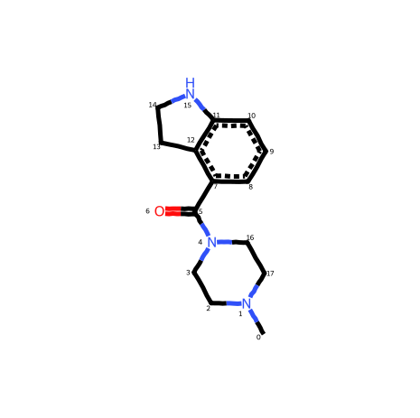 CN1CCN(C(=O)c2cccc3c2CCN3)CC1